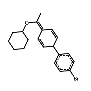 CC(OC1CCCCC1)=C1C=CC(c2ccc(Br)cc2)C=C1